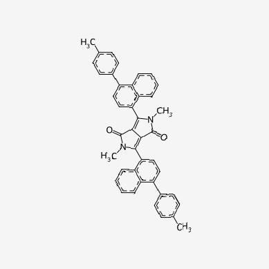 Cc1ccc(-c2ccc(C3=C4C(=O)N(C)C(c5ccc(-c6ccc(C)cc6)c6ccccc56)=C4C(=O)N3C)c3ccccc23)cc1